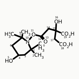 CC1(C)CC(O)CC(C)(C)N1OC(=O)CC(O)(CC(=O)O)C(=O)O